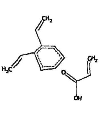 C=CC(=O)O.C=Cc1ccccc1C=C